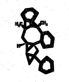 C[C@]12N[C@](C)(C[C@@H]3C[C@]3(CC3(c4ccccc4)CC3)c3ccccc31)c1ccccc12